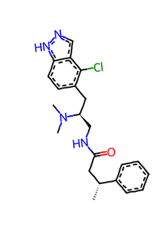 C[C@H](CC(=O)NC[C@H](Cc1ccc2[nH]ncc2c1Cl)N(C)C)c1ccccc1